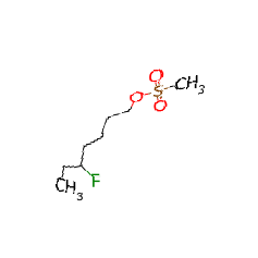 CCC(F)CCCCOS(C)(=O)=O